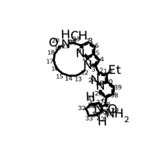 CCc1c(-c2cc3ccc4nc3n2CCCCCCCC(=O)N[C@@H]4C)nn2cc(C(=O)N3[C@H]4CC[C@@H]3[C@H](N)C4)ccc12